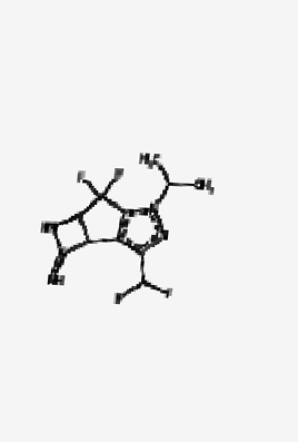 CC(C)n1nc(C(F)F)c2c1C(F)(F)C1NS(=N)C21